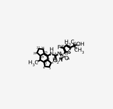 CC1C2=C(CCC2)C(NC(=O)N=S(N)(=O)c2sc(C(C)(C)O)cc2F)=C2CCCC21